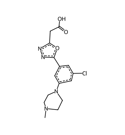 CN1CCN(c2cc(Cl)cc(-c3nnc(CC(=O)O)o3)c2)CC1